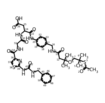 CC(=O)SC(C)(C)COC(C)(C)CC(=O)NCc1ccc(NC(=O)C(CC(=O)O)NC(=O)CNC(=O)c2csc(NC(=O)NCc3ccccc3)n2)cc1